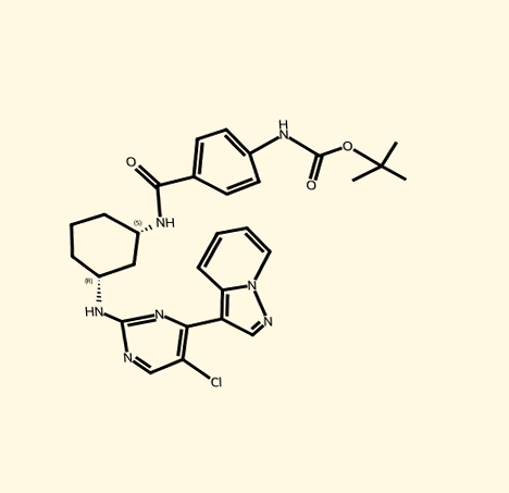 CC(C)(C)OC(=O)Nc1ccc(C(=O)N[C@H]2CCC[C@@H](Nc3ncc(Cl)c(-c4cnn5ccccc45)n3)C2)cc1